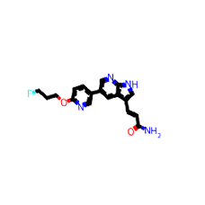 NC(=O)C=Cc1c[nH]c2ncc(-c3ccc(OCCCF)nc3)cc12